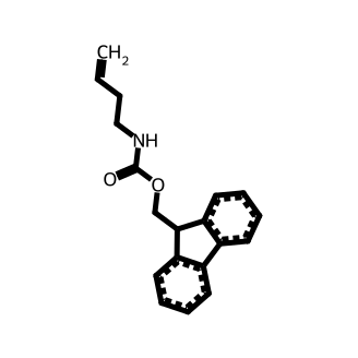 C=CCCNC(=O)OCC1c2ccccc2-c2ccccc21